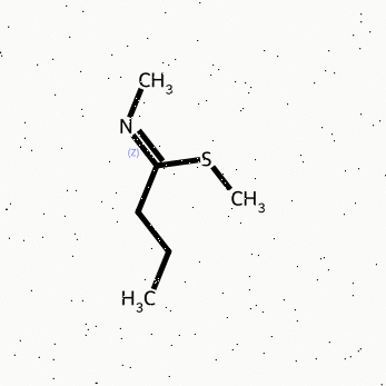 CCC/C(=N/C)SC